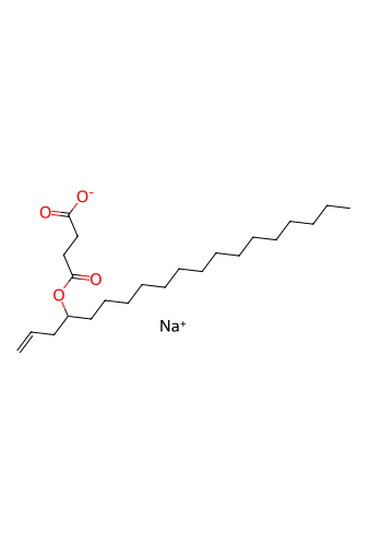 C=CCC(CCCCCCCCCCCCCCC)OC(=O)CCC(=O)[O-].[Na+]